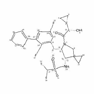 O=C([C@@H](O)C1CC1)N1CC2(CC2)[C@H](NS(=O)(=O)C(F)F)[C@@H]1Cc1cc(F)cc(-c2ccccc2)c1F